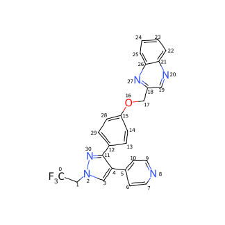 FC(F)(F)Cn1cc(-c2ccncc2)c(-c2ccc(OCc3cnc4ccccc4n3)cc2)n1